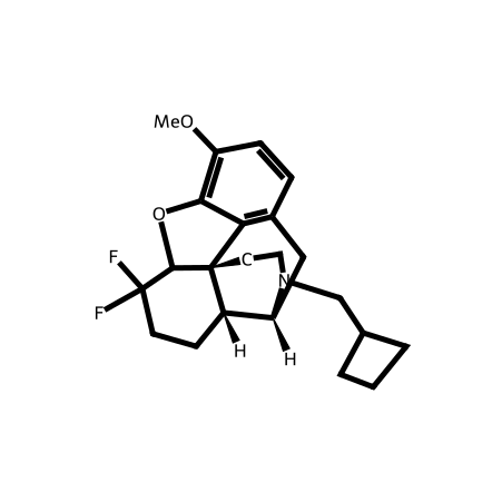 COc1ccc2c3c1OC1C(F)(F)CC[C@H]4[C@@H](C2)N(CC2CCC2)CC[C@]314